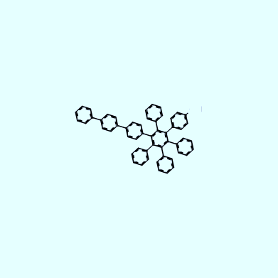 Oc1ccc(-c2c(-c3ccccc3)c(-c3ccccc3)c(-c3ccccc3)c(-c3ccc(-c4ccc(-c5ccccc5)cc4)cc3)c2-c2ccccc2)cc1